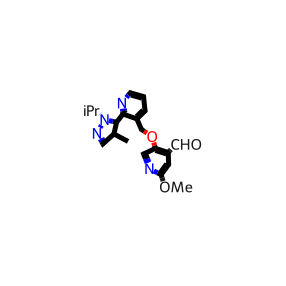 COc1cc(C=O)c(OCc2cccnc2C2C(C)C=NN2C(C)C)cn1